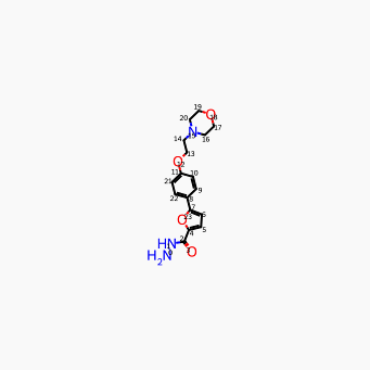 NNC(=O)c1ccc(-c2ccc(OCCN3CCOCC3)cc2)o1